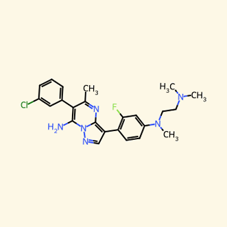 Cc1nc2c(-c3ccc(N(C)CCN(C)C)cc3F)cnn2c(N)c1-c1cccc(Cl)c1